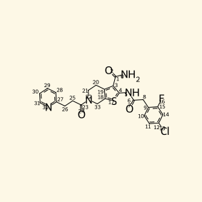 NC(=O)c1c(NC(=O)Cc2ccc(Cl)cc2F)sc2c1CCN(C(=O)CCc1ccccn1)C2